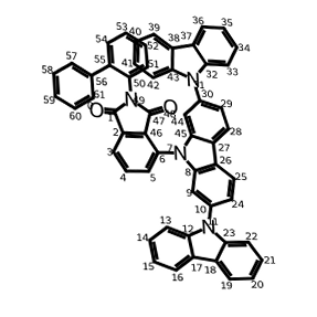 O=C1c2cccc(-n3c4cc(-n5c6ccccc6c6ccccc65)ccc4c4ccc(-n5c6ccccc6c6ccccc65)cc43)c2C(=O)N1c1ccccc1-c1ccccc1